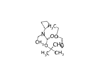 CCN(C(=O)OC(C)(C)C)C1CCC1.CCOC=O